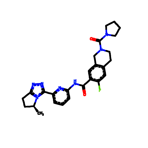 C[C@H]1CCc2nnc(-c3cccc(NC(=O)c4cc5c(cc4F)CCN(C(=O)N4CCCC4)C5)n3)n21